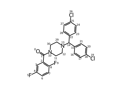 O=C(c1cc(F)ccc1F)N1CCN(C(c2ccc(Cl)cc2)c2ccc(Cl)cc2)CC1